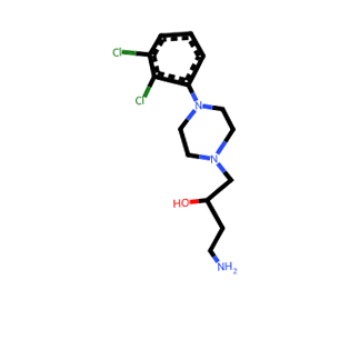 NCCC(O)CN1CCN(c2cccc(Cl)c2Cl)CC1